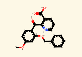 COc1ccc(C(=O)c2ncccc2C(=O)O)c(OCc2ccccc2)c1